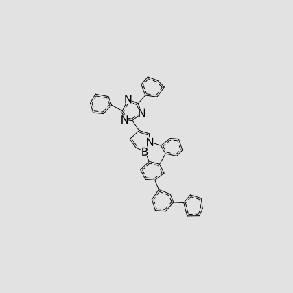 C1=CC(c2nc(-c3ccccc3)nc(-c3ccccc3)n2)=CN2B1c1ccc(-c3cccc(-c4ccccc4)c3)cc1-c1ccccc12